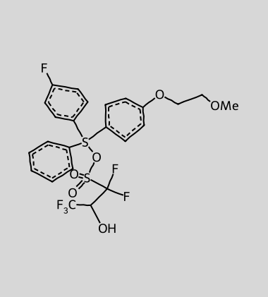 COCCOc1ccc(S(OS(=O)(=O)C(F)(F)C(O)C(F)(F)F)(c2ccccc2)c2ccc(F)cc2)cc1